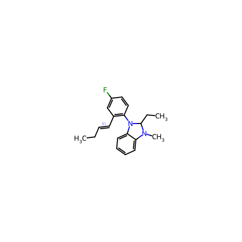 CC/C=C/c1cc(F)ccc1N1c2ccccc2N(C)C1CC